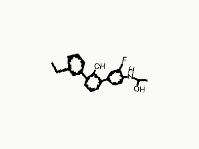 CCc1cccc(-c2cccc(-c3ccc(NC(C)O)c(F)c3)c2O)c1